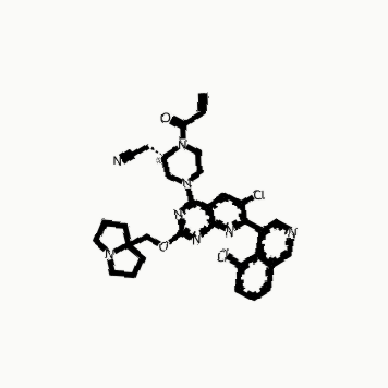 C=CC(=O)N1CCN(c2nc(OCC34CCCN3CCC4)nc3nc(-c4cncc5cccc(Cl)c45)c(Cl)cc23)C[C@@H]1CC#N